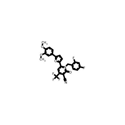 COc1ccc(-c2ccc(-c3cc(C(F)(F)F)c(C#N)c(=O)n3Cc3ccc(F)cc3F)o2)cc1OC